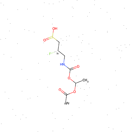 CCCC(=O)OC(C)OC(=O)NC[C@H](F)CS(=O)O